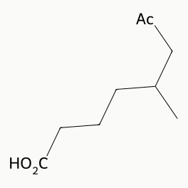 CC(=O)CC(C)CCCC(=O)O